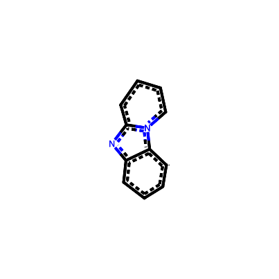 [c]1cccc2nc3ccccn3c12